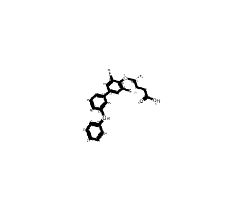 C[C@H](CCC(=O)O)Oc1c(F)cc(-c2cccc(Oc3ccccc3)c2)cc1F